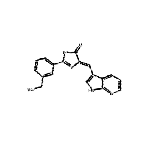 O=C1NC(c2cccc(CO)c2)=N/C1=C\c1c[nH]c2ncccc12